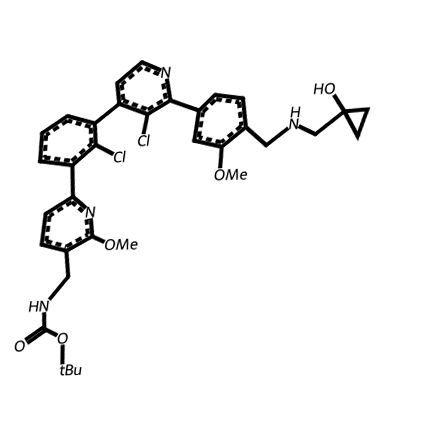 COc1cc(-c2nccc(-c3cccc(-c4ccc(CNC(=O)OC(C)(C)C)c(OC)n4)c3Cl)c2Cl)ccc1CNCC1(O)CC1